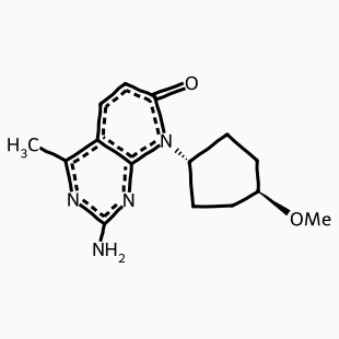 CO[C@H]1CC[C@H](n2c(=O)ccc3c(C)nc(N)nc32)CC1